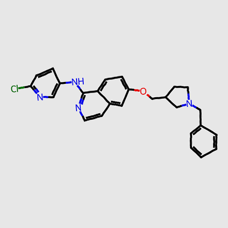 Clc1ccc(Nc2nccc3cc(OCC4CCN(Cc5ccccc5)C4)ccc23)cn1